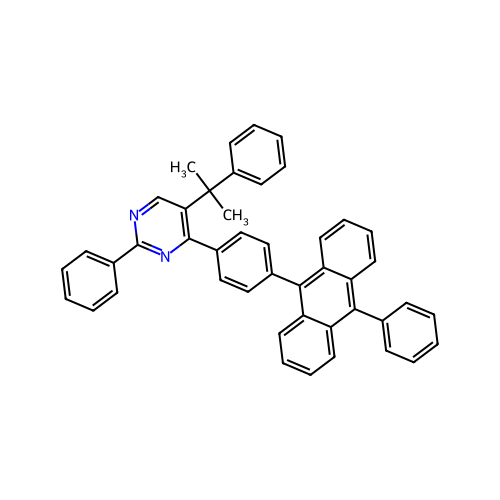 CC(C)(c1ccccc1)c1cnc(-c2ccccc2)nc1-c1ccc(-c2c3ccccc3c(-c3ccccc3)c3ccccc23)cc1